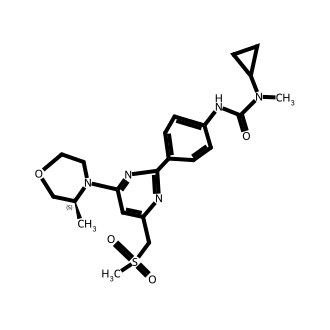 C[C@H]1COCCN1c1cc(CS(C)(=O)=O)nc(-c2ccc(NC(=O)N(C)C3CC3)cc2)n1